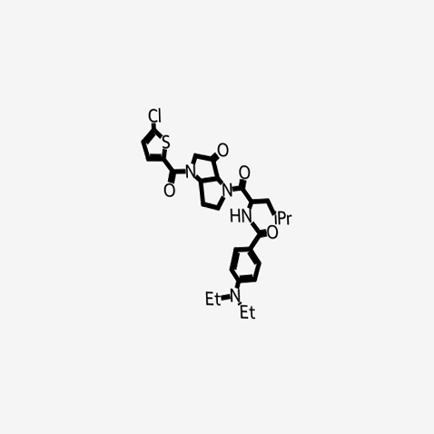 CCN(CC)c1ccc(C(=O)NC(CC(C)C)C(=O)N2CCC3C2C(=O)CN3C(=O)c2ccc(Cl)s2)cc1